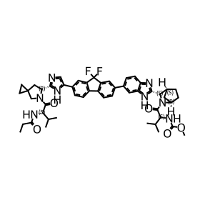 CCC(=O)N[C@H](C(=O)N1CC2(CC2)C[C@@H]1c1ncc(-c2ccc3c(c2)C(F)(F)c2cc(-c4ccc5nc([C@@H]6[C@H]7CC[C@H](C7)N6C(=O)[C@@H](NC(=O)OC)C(C)C)[nH]c5c4)ccc2-3)[nH]1)C(C)C